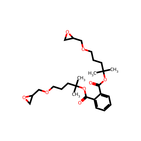 CC(C)(CCCOCC1CO1)OC(=O)c1ccccc1C(=O)OC(C)(C)CCCOCC1CO1